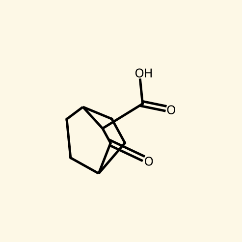 O=C(O)C1C(=O)C2CCC1CC2